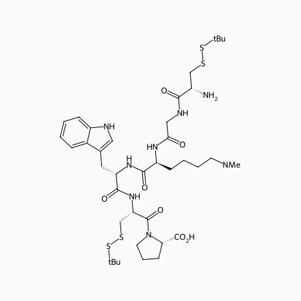 CNCCCC[C@H](NC(=O)CNC(=O)[C@@H](N)CSSC(C)(C)C)C(=O)N[C@@H](Cc1c[nH]c2ccccc12)C(=O)N[C@@H](CSSC(C)(C)C)C(=O)N1CCC[C@H]1C(=O)O